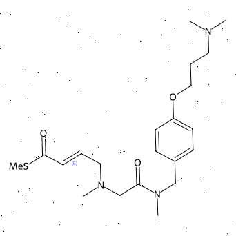 CSC(=O)/C=C/CN(C)CC(=O)N(C)Cc1ccc(OCCCN(C)C)cc1